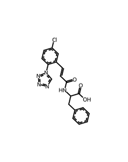 O=C(C=Cc1cc(Cl)ccc1-n1cnnn1)NC(Cc1ccccc1)C(=O)O